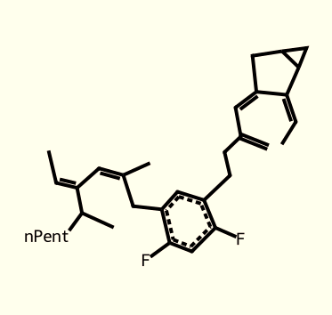 C=C(/C=C1/CC2CC2/C1=C/C)CCc1cc(C/C(C)=C\C(=C/C)C(C)CCCCC)c(F)cc1F